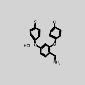 Cl.NCc1ccc(Oc2ccc(Cl)cc2)cc1Oc1ccc(Cl)cc1